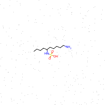 CCCCC(CCCCCN)NS(=O)(=O)O